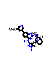 COc1cncc(-c2ccc3c(Nc4cc(C)[nH]n4)nc(N[C@@H]4C[C@H]5CCC[C@@H](C4)N5CCC#N)nc3c2)c1